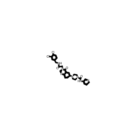 O=C(Cn1cnc2ccc(N3CCN(C(=O)Nc4cccnc4)CC3)cc2c1=O)NCc1ccc(Cl)c(Cl)c1